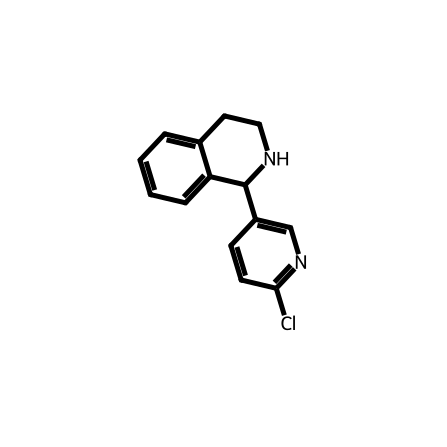 Clc1ccc(C2NCCc3ccccc32)cn1